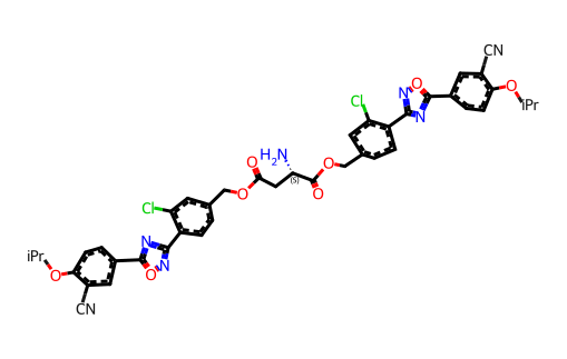 CC(C)Oc1ccc(-c2nc(-c3ccc(COC(=O)C[C@H](N)C(=O)OCc4ccc(-c5noc(-c6ccc(OC(C)C)c(C#N)c6)n5)c(Cl)c4)cc3Cl)no2)cc1C#N